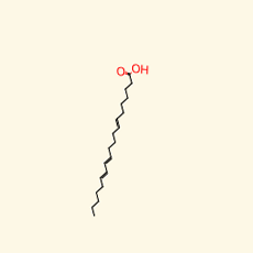 CCCCCC=CC=CCCCC=CCCCCCC(=O)O